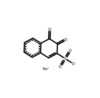 O=C1C(=O)c2ccccc2C=C1S(=O)(=O)[O-].[Na+]